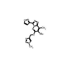 Cc1c(C(C)(C)C)c(OCc2cn(C)nn2)nn2c(-c3ccon3)nnc12